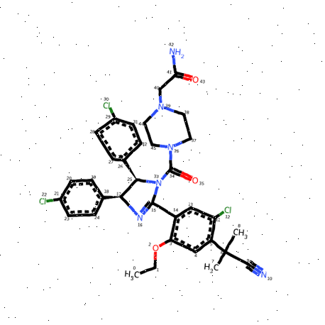 CCOc1cc(C(C)(C)C#N)c(Cl)cc1C1=N[C@@H](c2ccc(Cl)cc2)[C@@H](c2ccc(Cl)cc2)N1C(=O)N1CCN(CC(N)=O)CC1